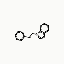 [CH](Cn1ccc2ccccc21)c1ccccc1